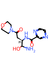 NC(O)[C@@H](CC(=O)N1CCOCC1)NC(=O)c1cnccn1